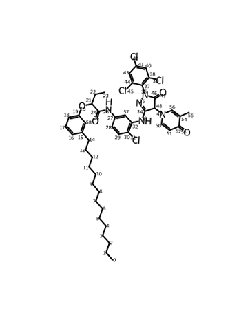 CCCCCCCCCCCCCCCc1cccc(OC(CC)C(=O)Nc2ccc(Cl)c(NC3=NN(c4c(Cl)cc(Cl)cc4Cl)C(=O)C3n3ccc(=O)c(C)c3)c2)c1